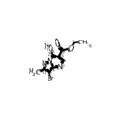 CCOC(=O)c1cnc2c(Br)c(C)nn2c1O